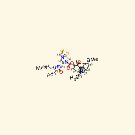 CNCCC[C@H](CC(C)=O)C(=O)NCC1CN(CP)CCN1C(=O)OC1=CC[C@H]2[C@H]3Cc4ccc(OC)c5c4[C@@]2(CCN3C)[C@H]1O5